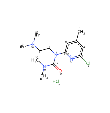 Cc1cc(Cl)nc(N(CCN(C(C)C)C(C)C)C(=O)N(C)C)c1.Cl